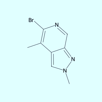 Cc1c(Br)ncc2nn(C)cc12